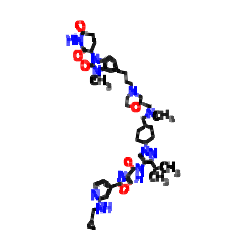 CC(C)c1nn(C2CCC(CN(C)C[C@@H]3CN(CCCc4ccc5c(c4)n(C)c(=O)n5C4CCC(=O)NC4=O)CCO3)CC2)cc1NC(=O)c1coc(-c2ccnc(NCC3CC3)c2)n1